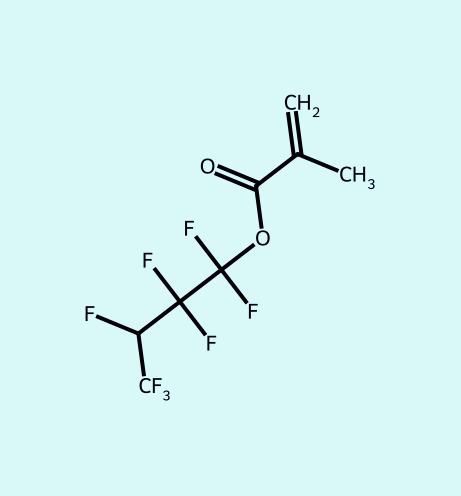 C=C(C)C(=O)OC(F)(F)C(F)(F)C(F)C(F)(F)F